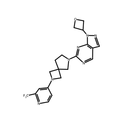 FC(F)(F)c1cc(N2CC3(CCN(c4ncc5cnn(C6COC6)c5n4)C3)C2)ccn1